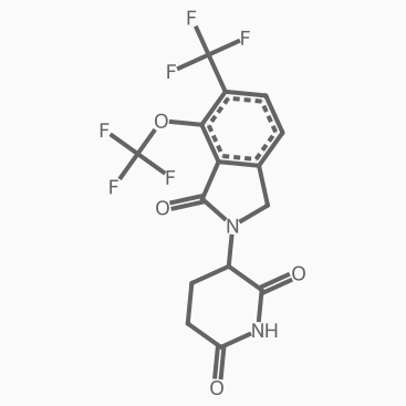 O=C1CCC(N2Cc3ccc(C(F)(F)F)c(OC(F)(F)F)c3C2=O)C(=O)N1